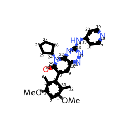 COc1cc(OC)c(C)c(-c2cc3nnc(Nc4ccncc4)nc3n(C3CCCC3)c2=O)c1C